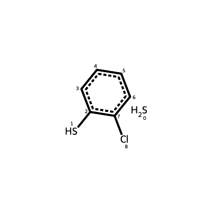 S.Sc1ccccc1Cl